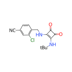 CC(C)(C)Nc1c(NCc2ccc(C#N)cc2Cl)c(=O)c1=O